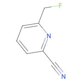 N#Cc1cccc(CF)n1